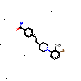 NC(=O)c1ccc(CCC2CCN(c3cccc(Br)c3C=O)CC2)cc1